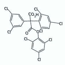 O=C(O)C(C(=O)Oc1c(Cl)cc(Cl)cc1Cl)(c1cc(Cl)cc(Cl)c1)c1c(Cl)cc(Cl)cc1Cl